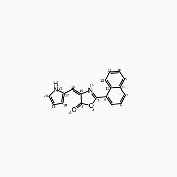 O=C1OC(c2cccc3ccccc23)=N/C1=C/c1ccc[nH]1